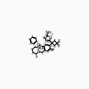 C[C@H]1CC[C@H](c2ccccc2)S(=O)(=O)N1Cc1cc(F)c(C2(c3nnc(N)o3)CC(F)(F)C2)cc1F